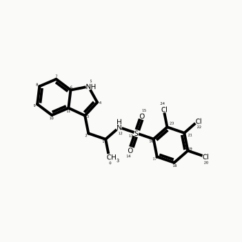 CC(Cc1c[nH]c2ccccc12)NS(=O)(=O)c1ccc(Cl)c(Cl)c1Cl